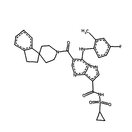 Cc1cc(F)ccc1Nc1c(C(=O)N2CCC3(CCc4ccccc43)CC2)cnc2c(C(=O)NS(=O)(=O)C3CC3)cnn12